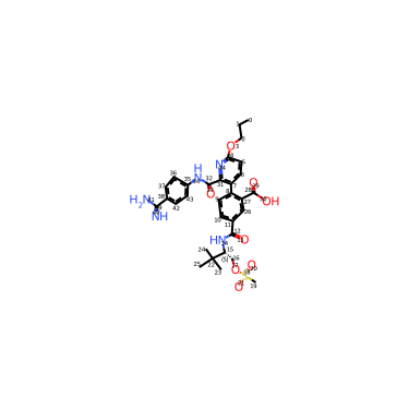 CCCOc1ccc(-c2ccc(C(=O)N[C@H](COS(C)(=O)=O)C(C)(C)C)cc2C(=O)O)c(C(=O)Nc2ccc(C(=N)N)cc2)n1